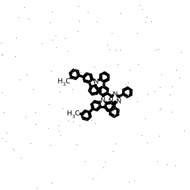 Cc1cccc(-c2ccc3c(c2)c2ccccc2n3-c2ccccc2-c2ccc(-n3c4ccccc4c4cc(-c5cccc(C)c5)ccc43)c(-c3nc(-c4ccccc4)nc(-c4ccccc4)n3)c2)c1